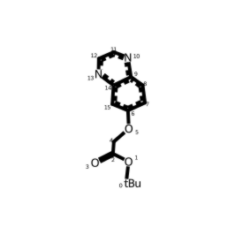 CC(C)(C)OC(=O)COc1ccc2nccnc2c1